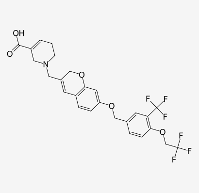 O=C(O)C1=CCCN(CC2=Cc3ccc(OCc4ccc(OCC(F)(F)F)c(C(F)(F)F)c4)cc3OC2)C1